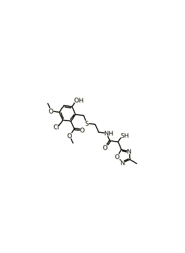 COC(=O)c1c(Cl)c(OC)cc(O)c1CSCCNC(=O)C(S)c1nc(C)no1